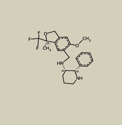 COc1cc2c(cc1CN[C@H]1CCCN[C@H]1c1ccccc1)[C@@](C)(C(F)(F)F)OC2